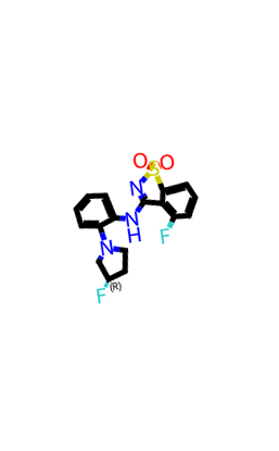 O=S1(=O)N=C(Nc2ccccc2N2CC[C@@H](F)C2)c2c(F)cccc21